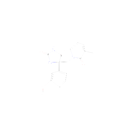 Cc1cccn(CC2(c3cccc(OC(F)(F)F)c3)NC(=O)NC2=O)c1=O